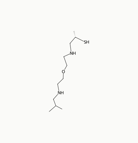 CC(C)CNCCOCCNC[C@H](C)S